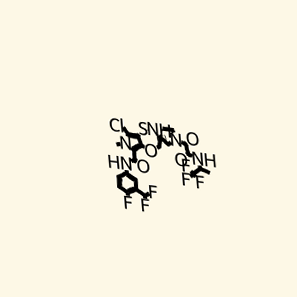 CC(NC(=O)C(=O)N1CC[C@@]2(COc3c(c(Cl)n(C)c3C(=O)Nc3ccc(F)c(C(F)F)c3)SN2)C1)C(F)(F)F